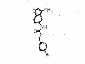 Cc1coc2ccc(NC(=O)CCc3ccc(Br)cc3)cc12